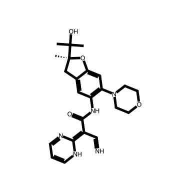 CC(C)(O)[C@]1(C)Cc2cc(NC(=O)/C(C=N)=C3\N=CC=CN3)c(N3CCOCC3)cc2O1